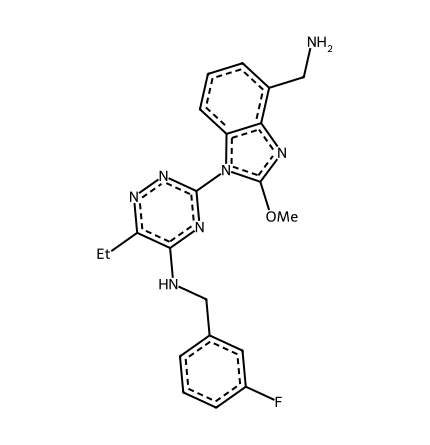 CCc1nnc(-n2c(OC)nc3c(CN)cccc32)nc1NCc1cccc(F)c1